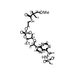 CC[C@@H]1OP(=O)(OCCSC(=O)C(C)(C)COC)OCC1OC(C)n1cnc2c(N(C)NS(C)(=O)=O)ncnc21